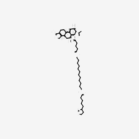 CC(C)[C@]12O[C@H]1[C@@H]1O[C@]13[C@]1(O[C@H]1C[C@H]1C4=C(CC[C@@]13C)C(=O)OC4)[C@@H]2OC(=O)CCCC(=O)OCCCCCCCCCCCCOC(=O)CCCCC1CCSS1